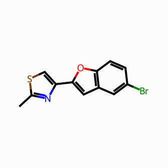 Cc1nc(-c2cc3cc(Br)ccc3o2)cs1